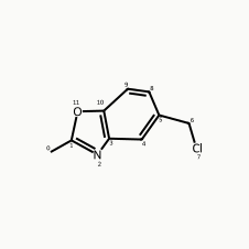 Cc1nc2cc(CCl)ccc2o1